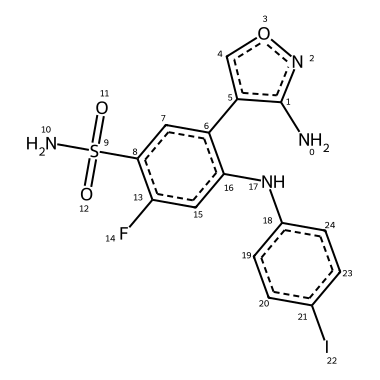 Nc1nocc1-c1cc(S(N)(=O)=O)c(F)cc1Nc1ccc(I)cc1